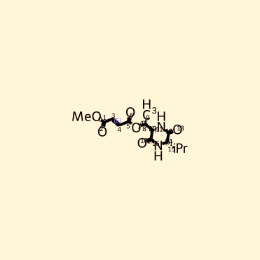 COC(=O)/C=C/C(=O)O[C@H](C)[C@@H]1NC(=O)[C@H](C(C)C)NC1=O